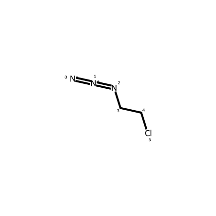 [N-]=[N+]=NCCCl